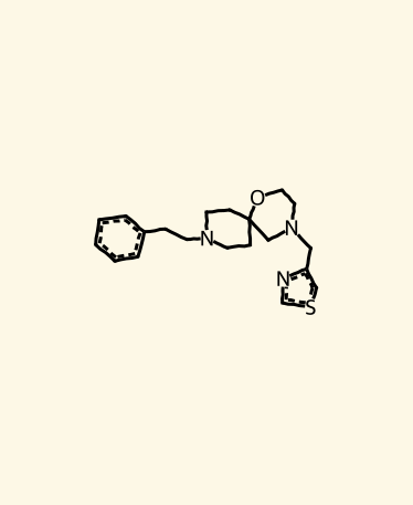 c1ccc(CCN2CCC3(CC2)CN(Cc2cscn2)CCO3)cc1